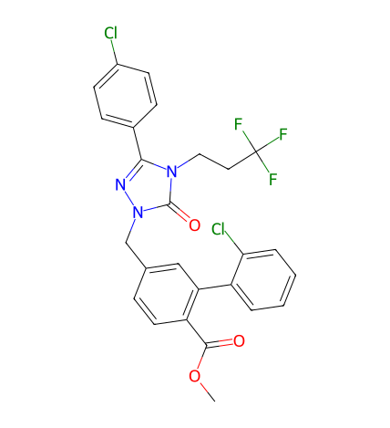 COC(=O)c1ccc(Cn2nc(-c3ccc(Cl)cc3)n(CCC(F)(F)F)c2=O)cc1-c1ccccc1Cl